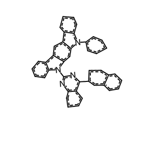 c1ccc(-n2c3ccccc3c3cc4c5ccccc5n(-c5nc(-c6ccc7ccccc7c6)c6ccccc6n5)c4cc32)cc1